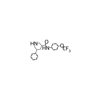 O=C(Nc1ccc(OC(F)(F)F)cc1)C1CNCC(c2ccccc2)C1